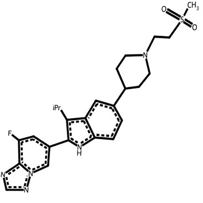 CC(C)c1c(-c2cc(F)c3ncnn3c2)[nH]c2ccc(C3CCN(CCS(C)(=O)=O)CC3)cc12